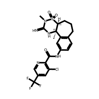 CN1C(=N)N[C@]2(C)c3cc(NC(=O)c4ncc(C(F)(F)F)cc4Cl)ccc3CCC[C@@H]2S1(=O)=O